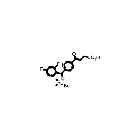 CC(C)(C)[Si](C)(C)OC(c1ccc(C(=O)CCC(=O)O)cn1)c1ccc(F)cc1F